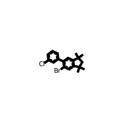 CC1(C)CC(C)(C)c2cc(-c3cccc(Cl)c3)c(Br)cc21